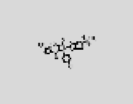 Cc1ccc(C(=O)C2=C(O)C(=O)N(c3nc4ccc(S(C)(=O)=O)cc4s3)C2c2ccc(Cl)cc2)o1